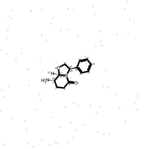 N[C@H]1CCC(=O)N2[C@@H]1OC[C@H]2c1ccccc1